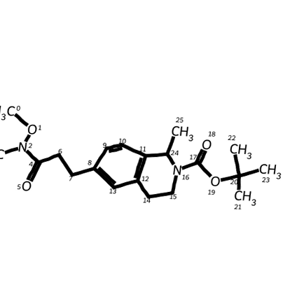 CON(C)C(=O)CCc1ccc2c(c1)CCN(C(=O)OC(C)(C)C)C2C